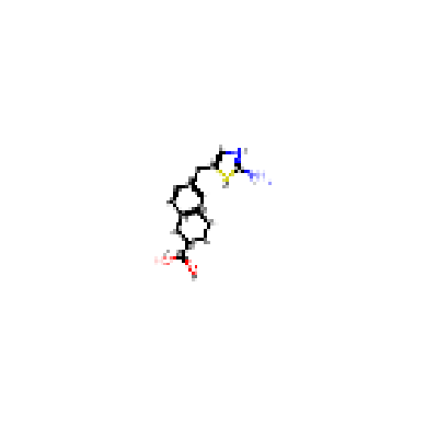 Nc1ncc(Cc2ccc3c(c2)CCC(C(=O)O)C3)s1